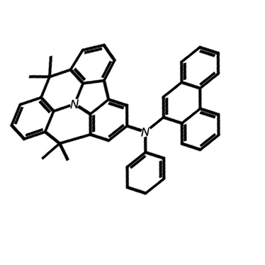 CC1(C)c2cccc3c2-n2c4c1cccc4c1cc(N(C4=CCCC=C4)c4cc5ccccc5c5ccccc45)cc(c12)C3(C)C